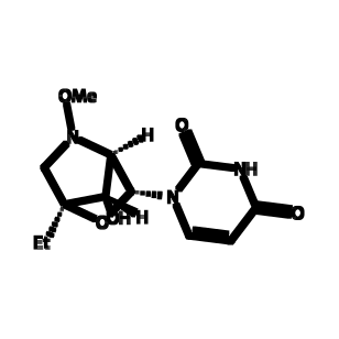 CC[C@@]12CN(OC)[C@@H]([C@H](n3ccc(=O)[nH]c3=O)O1)[C@@H]2O